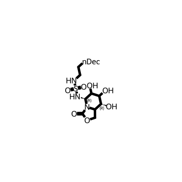 CCCCCCCCCCCCNS(=O)(=O)N[C@@H]1C(O)C(O)[C@H](O)C2COC(=O)N21